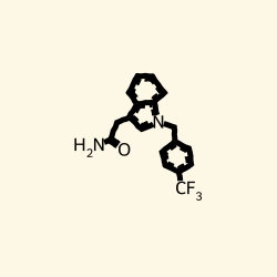 NC(=O)Cc1cn(Cc2ccc(C(F)(F)F)cc2)c2ccccc12